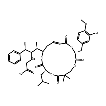 COc1ccc(C[C@H]2NC(=O)/C=C/CC([C@H](C)[C@@H](NCC(=O)O)[C@@H](Cl)c3ccccc3)OC(=O)[C@H](CC(C)C)OC(=O)C(C)(C)CNC2=O)cc1Cl